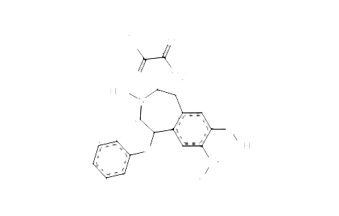 COc1cc2c(cc1OC)C(Oc1ccccc1)CN(C)CC2.O=C(O)C(=O)O